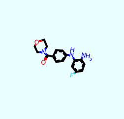 Nc1ccc(F)cc1Nc1ccc(C(=O)N2CCOCC2)cc1